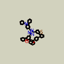 c1ccc(-n2c3ccccc3c3cc(-c4nc(-c5ccc6oc7ccccc7c6c5)nc(-c5ccc6sc7cccc(-c8ccc(C9%10CC%11CC(CC(C%11)C9)C%10)cc8)c7c6c5)n4)ccc32)cc1